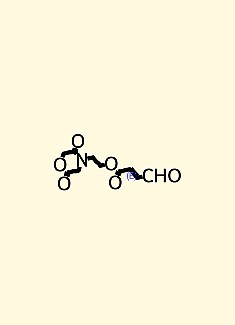 O=C/C=C/C(=O)OCCN1CC(=O)OCC1=O